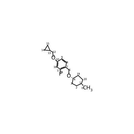 C[C@H]1CC[C@H](OCc2ccc(OCC3CC3)cc2F)CC1